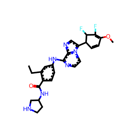 CCc1cc(Nc2nccn3c(C4C=CC(OC)=C(F)C4F)cnc23)ccc1C(=O)NC1CCNC1